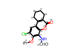 CC(C)Oc1c(Cl)cc2c3c(c(=O)oc2c1NC=O)CCCC3